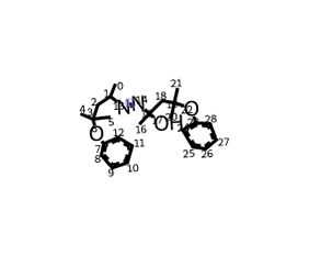 CC(CC(C)(C)Oc1ccccc1)/N=N/C(C)(O)CC(C)(C)Oc1ccccc1